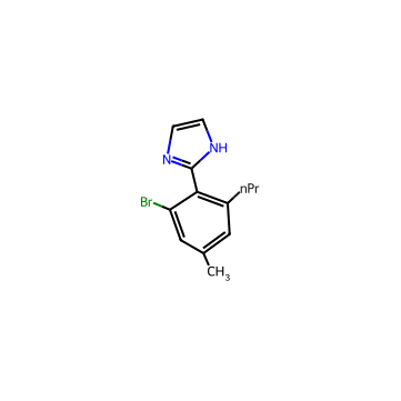 CCCc1cc(C)cc(Br)c1-c1ncc[nH]1